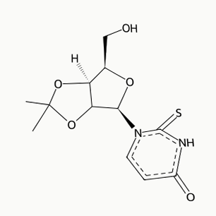 CC1(C)OC2[C@@H](O1)[C@@H](CO)O[C@H]2n1ccc(=O)[nH]c1=S